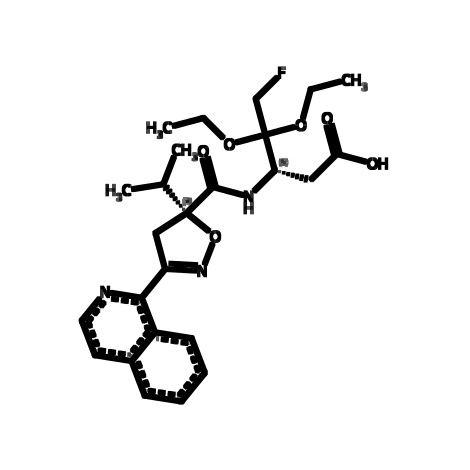 CCOC(CF)(OCC)[C@H](CC(=O)O)NC(=O)[C@]1(C(C)C)CC(c2nccc3ccccc23)=NO1